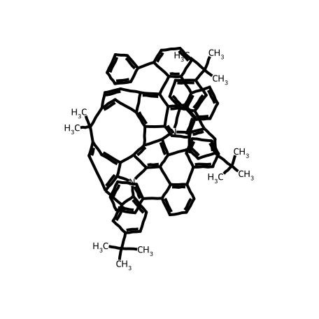 CC(C)(C)c1ccc2c(c1)c1cc3cc4c5c(c6c(c(-c7c(-c8ccccc8)cccc7-c7ccccc7)c5n2c14)c1cc(C(C)(C)C)cc2c4cc(C(C)(C)C)ccc4n6c21)-c1c2ccccc2c(-c2c(-c4ccccc4)cccc2-c2ccccc2)c2ccc(cc12)C3(C)C